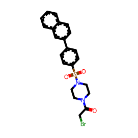 O=C(CBr)N1CCN(S(=O)(=O)c2ccc(-c3ccc4ccccc4c3)cc2)CC1